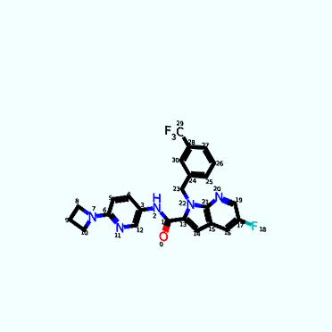 O=C(Nc1ccc(N2CCC2)nc1)c1cc2cc(F)cnc2n1Cc1cccc(C(F)(F)F)c1